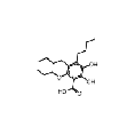 CCCCc1c(O)c(O)c(C(=O)O)c(OCCC)c1CCCC